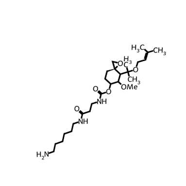 COC1C(OC(=O)NCCC(=O)NCCCCCCN)CC[C@]2(CO2)C1C(C)(C)OCC=C(C)C